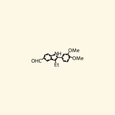 CCc1c(-c2ccc(OC)c(OC)c2)[nH]c2ccc(C=O)cc12